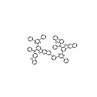 c1ccc(-c2cc(-c3ccccc3)nc(-c3cc(N(c4ccccc4)c4ccc5c(c4)oc4ccccc45)c4oc5cc6cc(-c7cccc(-c8cc(-c9ccccc9)nc(-c9cc(N(c%10ccccc%10)c%10cccc%11c%10oc%10ccccc%10%11)c%10oc%11cc%12ccccc%12cc%11c%10c9)n8)c7)ccc6cc5c4c3)n2)cc1